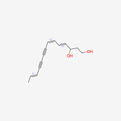 C/C=C/C#CC#C/C=C\C=C\C(O)CCO